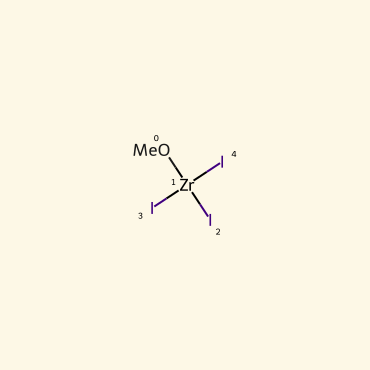 C[O][Zr]([I])([I])[I]